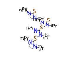 CCCN1CCN(C(C)C)C1=S.CCCN1CCN(C(C)C)C1=S.CCCN1CCN(C(C)C)C1=S.CCCN1CCN(C(C)C)C1=S.[Pt]